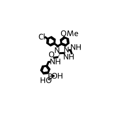 COc1ccc2c(c1)C(c1ccc(Cl)cc1)=N[C@@H](CC(=O)NCc1cccc(B(O)O)c1)C(=N)N2C(C)=N